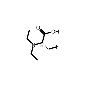 CCN(CC)[C@@H](CF)C(=O)O